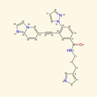 O=C(NCCCC1=CCN=C1)c1ccc(-n2cccn2)c(C#Cc2ccc3nccn3c2)c1